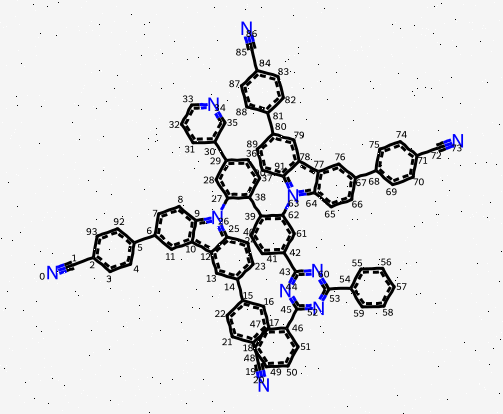 N#Cc1ccc(-c2ccc3c(c2)c2cc(-c4ccc(C#N)cc4)ccc2n3-c2cc(-c3cccnc3)ccc2-c2ccc(-c3nc(-c4ccccc4)nc(-c4ccccc4)n3)cc2-n2c3ccc(-c4ccc(C#N)cc4)cc3c3cc(-c4ccc(C#N)cc4)ccc32)cc1